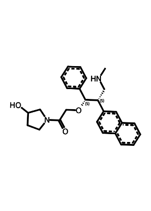 CNC[C@H](c1ccc2ccccc2c1)[C@H](OCC(=O)N1CCC(O)C1)c1ccccc1